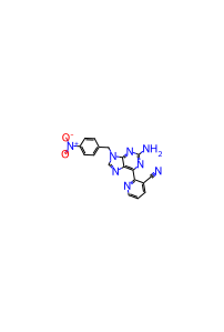 N#Cc1cccnc1-c1nc(N)nc2c1ncn2Cc1ccc([N+](=O)[O-])cc1